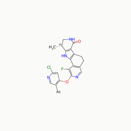 CC(=O)c1cnc(Cl)cc1Oc1ncc2c(c1F)-c1[nH]c3c(c1CC2)C(=O)NC[C@H]3C